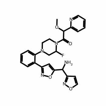 COC(C(=O)N1CCN(c2ccccc2-c2cc(C(N)c3ccon3)on2)CC1F)c1ccccn1